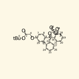 CC(C)(C)OC(=O)COc1ccc(S(OS(=O)(=O)C(F)(F)F)(c2ccccc2)c2ccccc2)cc1